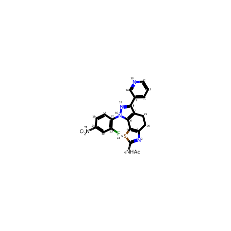 CC(=O)Nc1nc2c(s1)-c1c(c(-c3cccnc3)nn1-c1ccc([N+](=O)[O-])cc1F)CC2